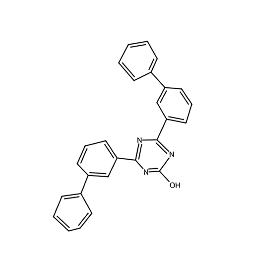 Oc1nc(-c2cccc(-c3ccccc3)c2)nc(-c2cccc(-c3ccccc3)c2)n1